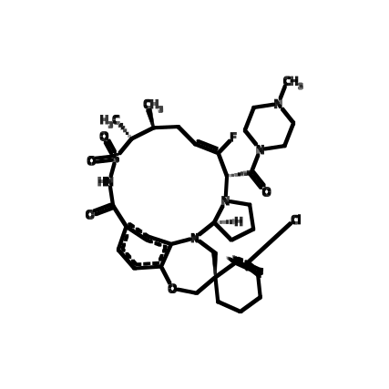 C[C@@H]1[C@@H](C)C/C=C(\F)[C@H](C(=O)N2CCN(C)CC2)N2CCC[C@H]2N2C[C@@]3(CCCc4cc(Cl)ccc43)COc3ccc(cc32)C(=O)NS1(=O)=O